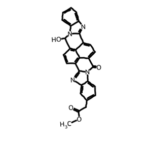 COC(=O)Cc1ccc2c(c1)nc1c3ccc4c5c(ccc(c(=O)n21)c53)-c1nc2ccccc2n1C4O